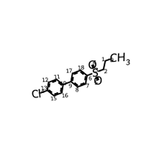 CCCS(=O)(=O)c1ccc(-c2ccc(Cl)cc2)cc1